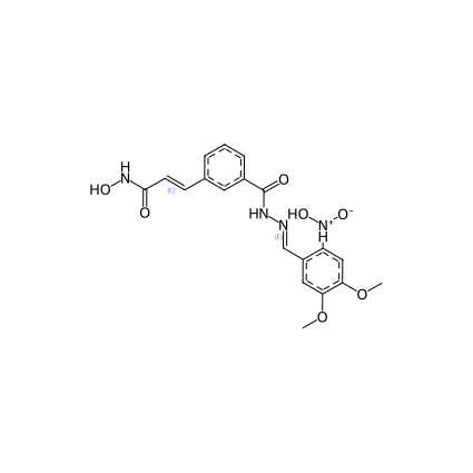 COc1cc(/C=N/NC(=O)c2cccc(/C=C/C(=O)NO)c2)c([NH+]([O-])O)cc1OC